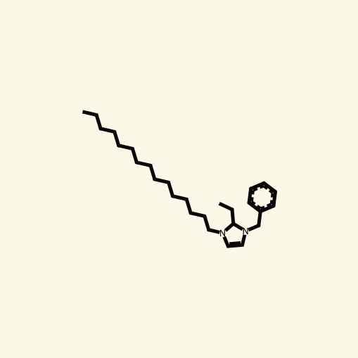 CCCCCCCCCCCCCCCN1C=CN(Cc2ccccc2)C1CC